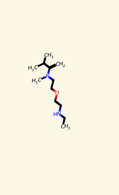 C=C(C(C)C)N(C)CCOCCNCC